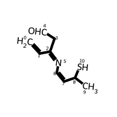 C=C/C(CC=O)=N\C=C/C(C)S